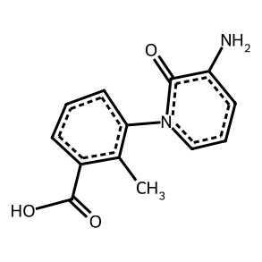 Cc1c(C(=O)O)cccc1-n1cccc(N)c1=O